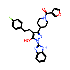 O=C(c1ccoc1)N1CCC(c2nn(-c3nc4ccccc4[nH]3)c(O)c2CCc2ccc(F)cc2)CC1